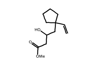 C=CC1(CC(O)CC(=O)OC)CCCC1